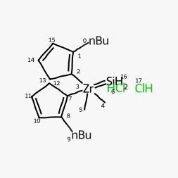 CCCCC1=[C]([Zr]([CH3])([CH3])(=[SiH2])[C]2=C(CCCC)C=CC2)CC=C1.Cl.Cl